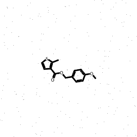 [CH2]c1sccc1C(=O)OCc1ccc(OC)cc1